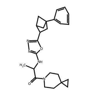 CC(Nc1nnc(C2CC3(c4ccccc4)CC2C3)o1)C(=O)N1CCC2(CC1)CC2